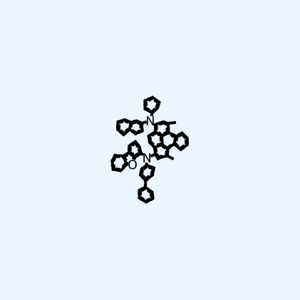 Cc1cc(N(c2ccccc2)c2ccc3ccccc3c2)c2ccc3c(N(c4ccc(-c5ccccc5)cc4)c4cccc5c4oc4ccccc45)cc(C)c4c5ccccc5c1c2c34